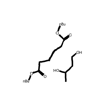 CC(O)CCO.CCCCOC(=O)CCCCC(=O)OCCCC